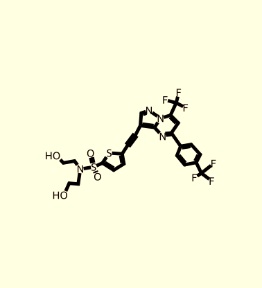 O=S(=O)(c1ccc(C#Cc2cnn3c(C(F)(F)F)cc(-c4ccc(C(F)(F)F)cc4)nc23)s1)N(CCO)CCO